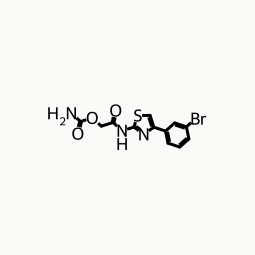 NC(=O)OCC(=O)Nc1nc(-c2cccc(Br)c2)cs1